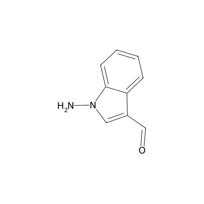 Nn1cc(C=O)c2ccccc21